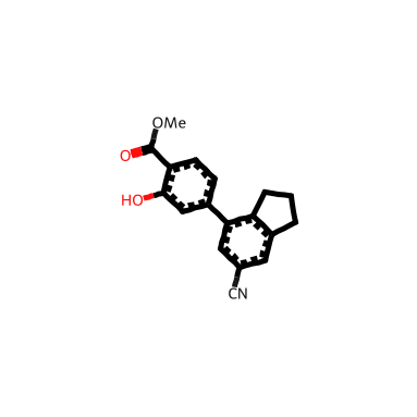 COC(=O)c1ccc(-c2cc(C#N)cc3c2CCC3)cc1O